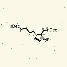 CCCCCCCCCCCCCCN1C=CN(C(C)C)C1CCCCCCCCCCC